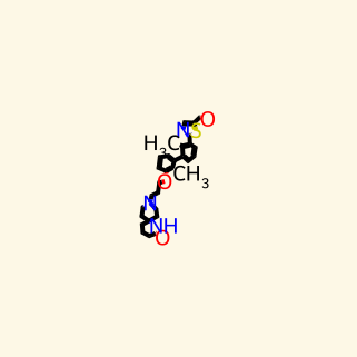 Cc1c(OCCCN2CCC3(CCCC(=O)N3)CC2)cccc1-c1cccc(-c2ncc(C=O)s2)c1C